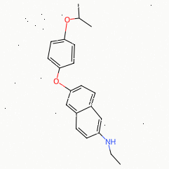 CCNc1ccc2cc(Oc3ccc(OC(C)C)cc3)ccc2c1